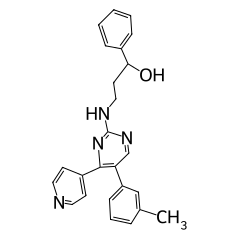 Cc1cccc(-c2cnc(NCCC(O)c3ccccc3)nc2-c2ccncc2)c1